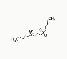 CCCCC[S+]([O-])CCCS(=O)(=O)CCCCC